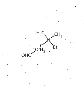 CC[N+](C)(C)C.O=C[O-]